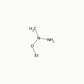 CCON(C)N